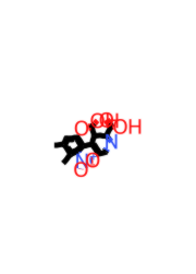 Cc1ccc(C2=CC=NC(C(=O)O)C2C(=O)O)c([N+](=O)[O-])c1C